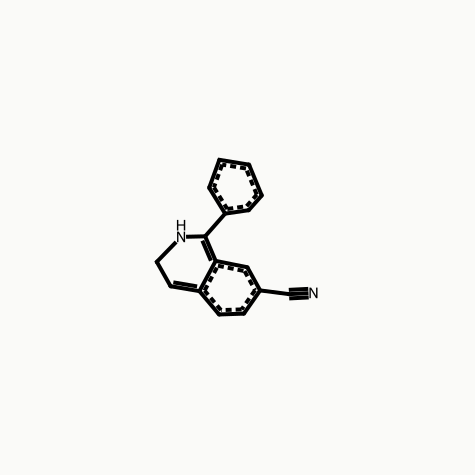 N#Cc1ccc2c(c1)=C(c1ccccc1)NCC=2